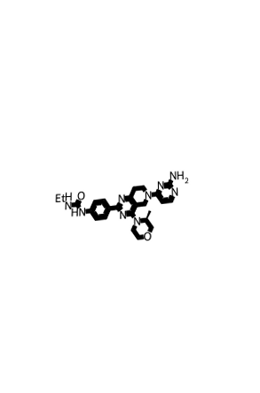 CCNC(=O)Nc1ccc(-c2nc3c(c(N4CCOC[C@@H]4C)n2)CN(c2ccnc(N)n2)CC3)cc1